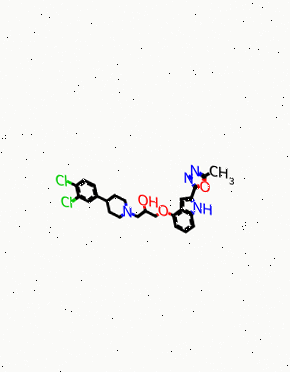 Cc1nnc(-c2cc3c(OCC(O)CN4CCC(c5ccc(Cl)c(Cl)c5)CC4)cccc3[nH]2)o1